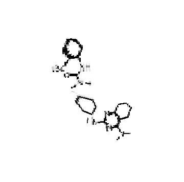 CN(C)c1nc(N[C@H]2CC[C@@H](CNC(=O)Nc3ccccc3C(C)(C)C)CC2)nc2c1CCCC2